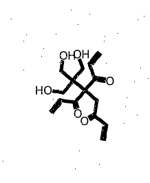 C=CC(=O)CC(C(=O)C=C)(C(=O)C=C)C(CO)(CO)CO